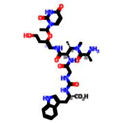 CC(O/C(=C\NC(=O)[C@@H](NC(=O)CNC(=O)N[C@@H](Cc1c[nH]c2ccccc12)C(=O)O)[C@H](C)N(C)C(=O)[C@H](C)N)CCO)n1ccc(=O)[nH]c1=O